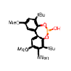 CCCCCCCCCc1c(OC)cc2c(op(O)oc3c(C(C)(C)C)cc(OC)cc32)c1C(C)(C)C